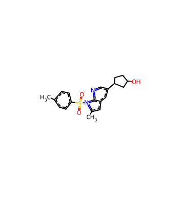 Cc1ccc(S(=O)(=O)n2c(C)cc3cc(C4CCC(O)C4)cnc32)cc1